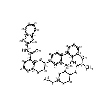 CC(=O)CN1CCC(CCC(C)Oc2cccc(-c3ccc(N4CCc5cccc(C(=O)Nc6nc7ccccc7s6)c5C4)nc3C(C)=O)c2C)CC1